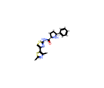 Cc1nc(C)c(-c2csc(NC(=O)[C@H]3CC[C@@H](c4ccccc4)N3)n2)s1